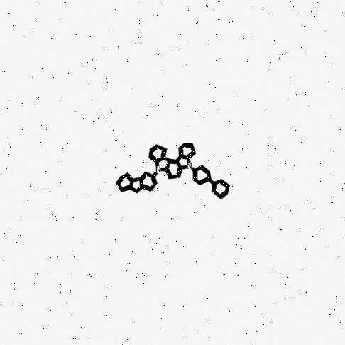 c1ccc(-c2ccc(-n3c4ccccc4c4c5c6ccccc6n(-c6ccc7c(c6)-c6ccccc6C7)c5ccc43)cc2)cc1